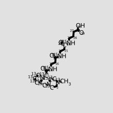 [13CH3]N1C[13CH2]N([13CH2][13CH]2[13CH2][13CH2][13CH2]N2[13CH2]C(=O)[15NH]CCC(=O)[15NH]CC[13C](=O)[15NH]CCCC(=O)O)[13CH2][13CH2]1